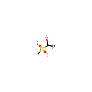 CCC([O])S(C)(=O)=O